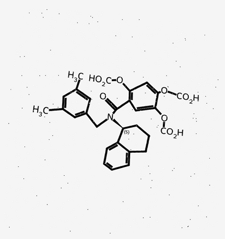 Cc1cc(C)cc(CN(C(=O)c2cc(OC(=O)O)c(OC(=O)O)cc2OC(=O)O)[C@H]2CCCc3ccccc32)c1